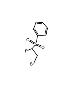 O=S(=O)(c1ccccc1)C(F)CBr